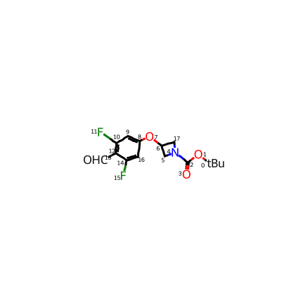 CC(C)(C)OC(=O)N1CC(Oc2cc(F)c(C=O)c(F)c2)C1